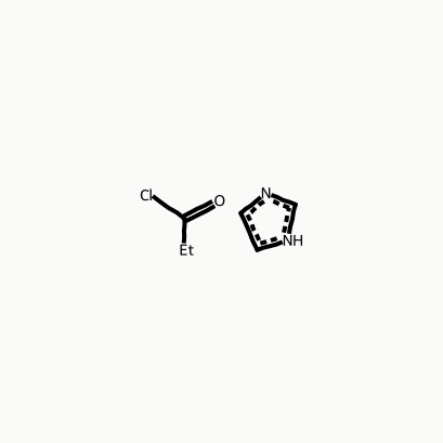 CCC(=O)Cl.c1c[nH]cn1